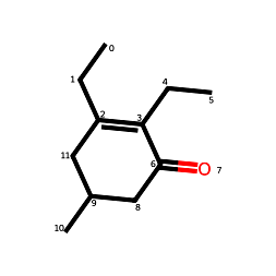 CCC1=C(CC)C(=O)CC(C)C1